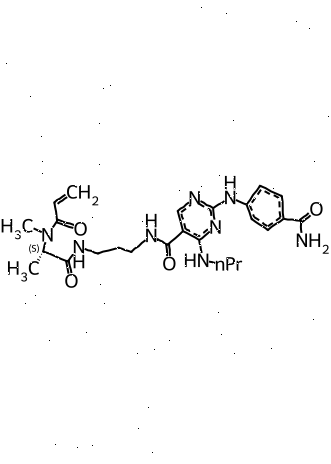 C=CC(=O)N(C)[C@@H](C)C(=O)NCCCNC(=O)c1cnc(Nc2ccc(C(N)=O)cc2)nc1NCCC